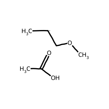 CC(=O)O.C[CH]COC